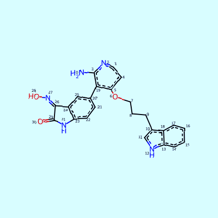 Nc1nccc(OCCCc2c[nH]c3ccccc23)c1-c1ccc2c(c1)C(=NO)C(=O)N2